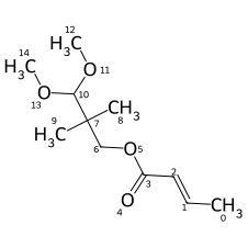 CC=CC(=O)OCC(C)(C)C(OC)OC